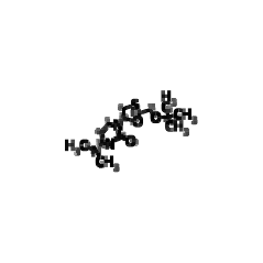 CN(C)c1ccn([C@@H]2CSC(COC(C)(C)C)O2)c(=O)n1